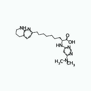 CN(C)c1cc(N[C@@H](CCCCCCCc2ccc3c(n2)NCCC3)C(=O)O)ncn1